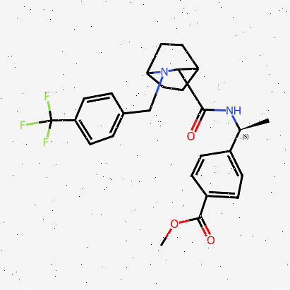 COC(=O)c1ccc([C@H](C)NC(=O)C2C3CCC(CC3)N2Cc2ccc(C(F)(F)F)cc2)cc1